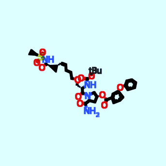 CC(C)(C)OC(=O)N[C@@H](COCCC/C=C\[C@@H]1C[C@@H]1C(=O)NS(=O)(=O)C1CC1)C(=O)N1C[C@H](OC(=O)c2cccc(Oc3ccccc3)c2)CC1C(N)=O